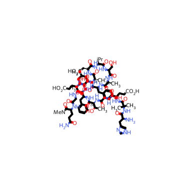 CNC(=O)C(CCC(N)=O)NC(=O)CNC(=O)C(CCC(=O)O)N1CC(C)C[C@H](NC(=O)C(Cc2ccc(O)cc2)NC(=O)[C@H](C)NC(=O)C(CO)NC(=O)[C@@H](NC(=O)[C@H](CC(=O)O)NC(=O)[C@H](C)NC(=O)[C@@H](NC(=O)C(Cc2ccccc2)NC(=O)[C@@H](NC(=O)CNC(=O)C(CCC(=O)O)NC(=O)C(C)(C)NC(=O)C(N)Cc2c[nH]cn2)C(C)O)C(C)O)C(C)C)C1=O